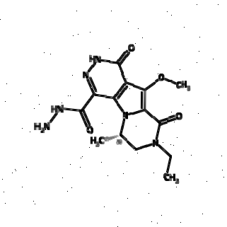 CCN1C[C@H](C)n2c(c(OC)c3c(=O)[nH]nc(C(=O)NN)c32)C1=O